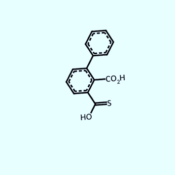 O=C(O)c1c(C(O)=S)cccc1-c1ccccc1